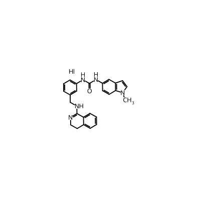 Cn1ccc2cc(NC(=O)Nc3cccc(CNC4=NCCc5ccccc54)c3)ccc21.I